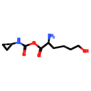 N[C@@H](CCCCO)C(=O)OC(=O)NC1CC1